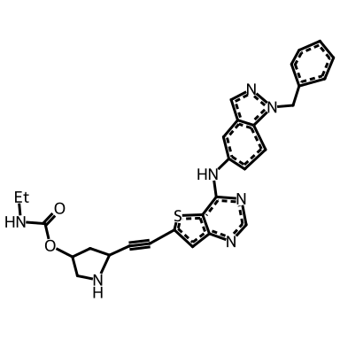 CCNC(=O)OC1CNC(C#Cc2cc3ncnc(Nc4ccc5c(cnn5Cc5ccccc5)c4)c3s2)C1